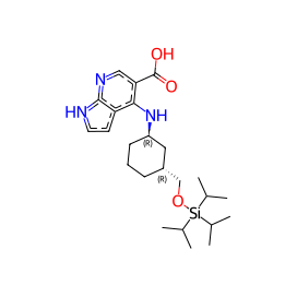 CC(C)[Si](OC[C@@H]1CCC[C@@H](Nc2c(C(=O)O)cnc3[nH]ccc23)C1)(C(C)C)C(C)C